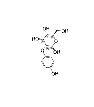 OC[C@H]1O[C@@H](O)[C@H](Oc2ccc(O)cc2)[C@@H](O)[C@@H]1O